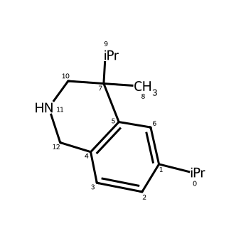 CC(C)c1ccc2c(c1)C(C)(C(C)C)CNC2